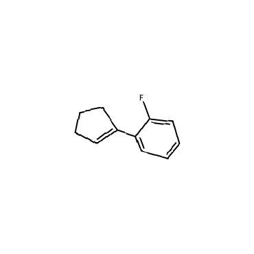 Fc1ccccc1C1=CCCC1